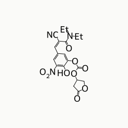 CCN(CC)C(=O)C(C#N)=Cc1cc(OC(=O)OC2COC(=O)C2)c(O)c([N+](=O)[O-])c1